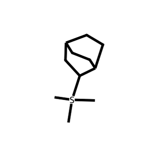 CS(C)(C)C1CC2CCC1CC2